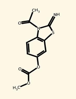 COC(=O)Oc1ccc2c(c1)sc(=N)n2C(C)=O